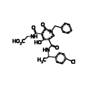 CC(NC(=O)c1cn(Cc2ccccc2)c(=O)c(C(=O)NCC(=O)O)c1O)c1ccc(Cl)cc1